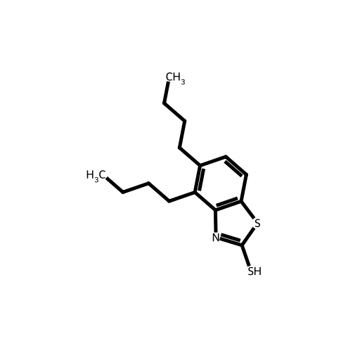 CCCCc1ccc2sc(S)nc2c1CCCC